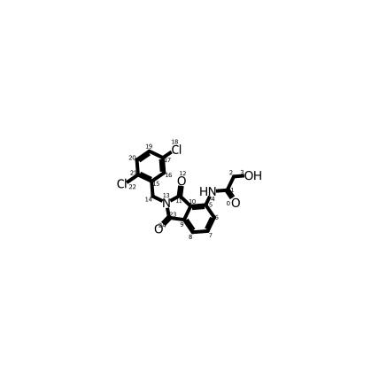 O=C(CO)Nc1cccc2c1C(=O)N(Cc1cc(Cl)ccc1Cl)C2=O